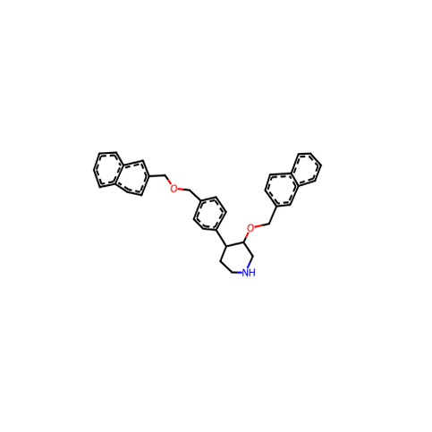 c1ccc2cc(COCc3ccc(C4CCNCC4OCc4ccc5ccccc5c4)cc3)ccc2c1